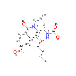 CCCCOc1c(CNC(=O)O)n(CC(C)C)c(=O)c2ccc(C=O)cc12